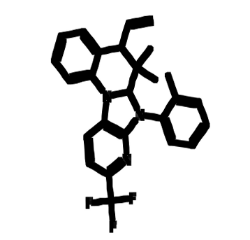 C=CC1c2ccccc2N2c3ccc(C(F)(F)F)nc3N(c3ccccc3C)C2C1(C)C